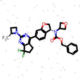 O=C(OCc1ccccc1)N(C1COC1)[C@H]1COc2cc(-c3nc(N4CC[C@@H]4C(F)(F)F)nc4c3CCC4(F)F)ccc21